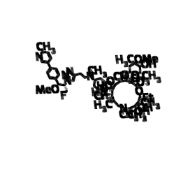 CC[C@H]1OC(=O)[C@H](C)[C@@H](O[C@H]2C[C@@](C)(OC)[C@@H](O)[C@H](C)O2)[C@H](C)[C@@H](O[C@H]2C[C@@H](N(C)CCc3cn([C@H](CF)[C@H](OC)c4ccc(-c5ccc(C)nc5)cc4)nn3)C[C@@H](C)O2)[C@](C)(O)C[C@@H](C)CN(C)[C@H](C)[C@@H](O)[C@]1(C)O